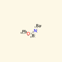 [B].[Ba].[N].[O].[Pb]